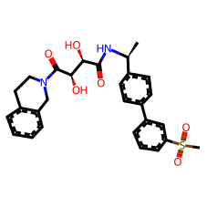 C[C@H](NC(=O)[C@H](O)[C@@H](O)C(=O)N1CCc2ccccc2C1)c1ccc(-c2cccc(S(C)(=O)=O)c2)cc1